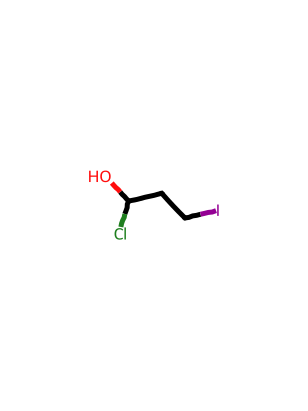 OC(Cl)CCI